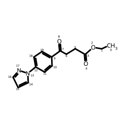 CCOC(=O)CCC(=O)c1ccc(-n2cccn2)cc1